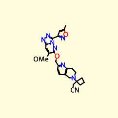 COc1cc2nnc(-c3cc(C)on3)n2nc1OCc1ccc2c(n1)CCN(C1(CC#N)CCC1)C2